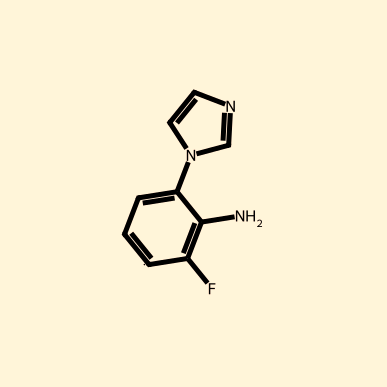 Nc1c(F)[c]ccc1-n1ccnc1